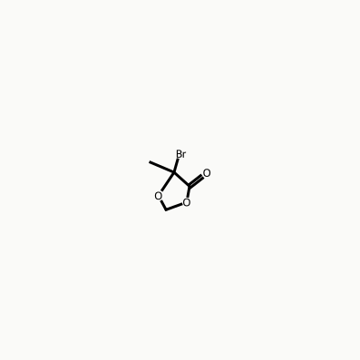 CC1(Br)OCOC1=O